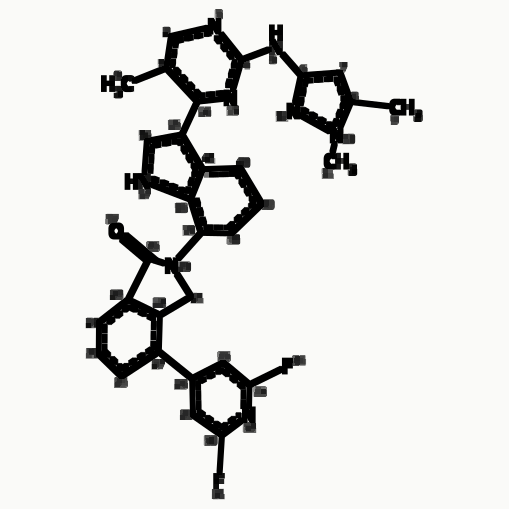 Cc1cnc(Nc2cc(C)n(C)n2)nc1-c1c[nH]c2c(N3Cc4c(cccc4-c4cc(F)nc(F)c4)C3=O)cccc12